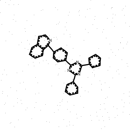 c1ccc(-c2nc(-c3ccccc3)nc(-c3ccc(-c4nccc5ccccc45)cc3)n2)cc1